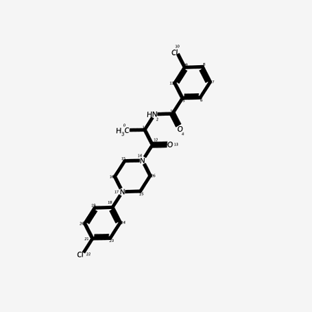 CC(NC(=O)c1cccc(Cl)c1)C(=O)N1CCN(c2ccc(Cl)cc2)CC1